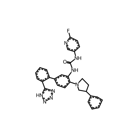 O=C(Nc1ccc(F)nc1)Nc1cc(-c2ccccc2-c2nnn[nH]2)ccc1N1CCC(c2ccccc2)C1